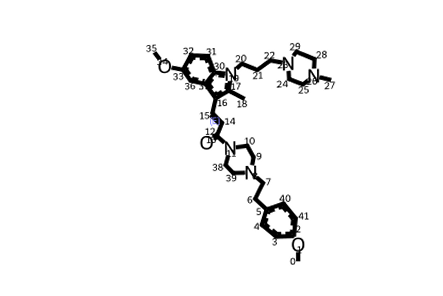 COc1ccc(CCN2CCN(C(=O)/C=C/c3c(C)n(CCCN4CCN(C)CC4)c4ccc(OC)cc34)CC2)cc1